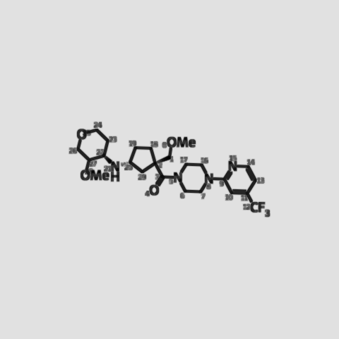 COC[C@]1(C(=O)N2CCN(c3cc(C(F)(F)F)ccn3)CC2)CC[C@@H](N[C@@H]2CCOCC2OC)C1